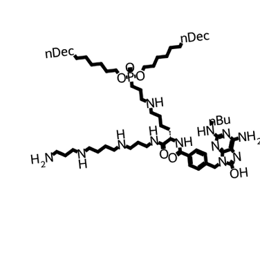 CCCCCCCCCCCCCCCCOP(=O)(CCCNCCCC[C@H](NC(=O)c1ccc(Cn2c(O)nc3c(N)nc(NCCCC)nc32)cc1)C(=O)NCCCNCCCCNCCCN)OCCCCCCCCCCCCCCCC